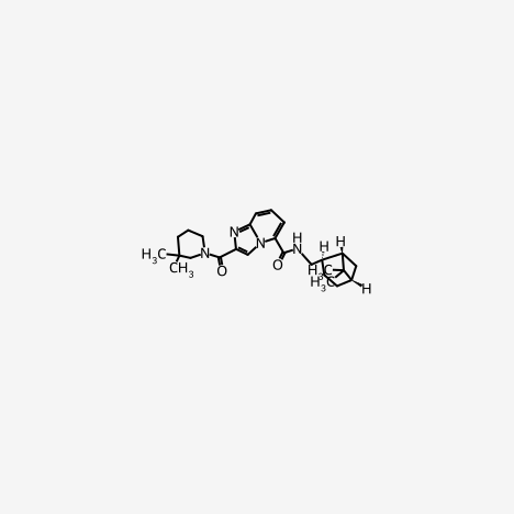 CC1(C)CCCN(C(=O)c2cn3c(C(=O)NC[C@@H]4CC[C@H]5C[C@@H]4C5(C)C)cccc3n2)C1